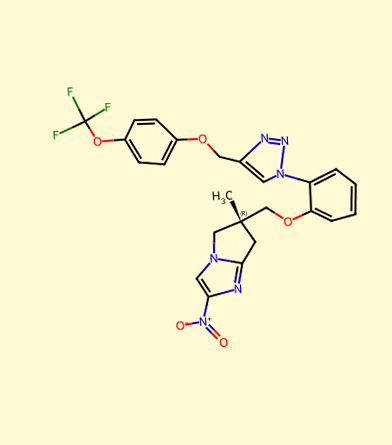 C[C@@]1(COc2ccccc2-n2cc(COc3ccc(OC(F)(F)F)cc3)nn2)Cc2nc([N+](=O)[O-])cn2C1